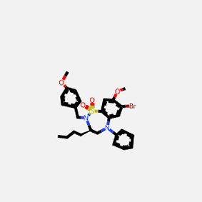 CCCC[C@@H]1CN(c2ccccc2)c2cc(Br)c(OC)cc2S(=O)(=O)N1Cc1ccc(OC)cc1